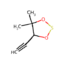 C#CC1OSOC1(C)C